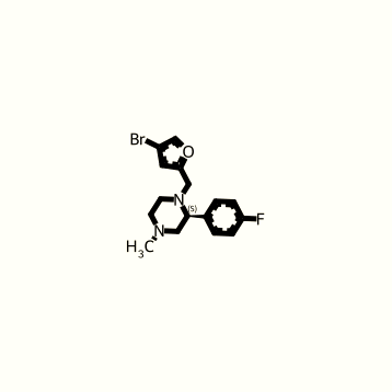 CN1CCN(Cc2cc(Br)co2)[C@@H](c2ccc(F)cc2)C1